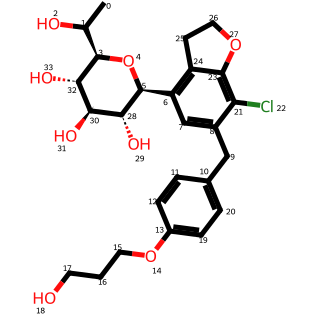 CC(O)[C@H]1O[C@@H](c2cc(Cc3ccc(OCCCO)cc3)c(Cl)c3c2CCO3)[C@H](O)[C@@H](O)[C@@H]1O